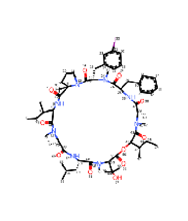 CCC(C)C1NC(=O)[C@@H]2CCCN2C(=O)[C@H](Cc2cccc(I)c2)N(C)C(=O)C(Cc2ccccc2)NC(=O)[C@H](C)N(C)C(=O)C([C@H](C)CC)OC(=O)C(C(C)(C)O)N(C)C(=O)[C@H](CC(C)C)NC(=O)[C@H](C)N(C)C1=O